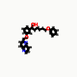 OC(CCCCCOc1ccccc1)c1cccc(OCc2ccc3ncccc3n2)c1